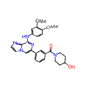 COc1ccc(Nc2nc(-c3cccc(C(=O)N4CCC(O)CC4)c3)cn3ccnc23)cc1OC